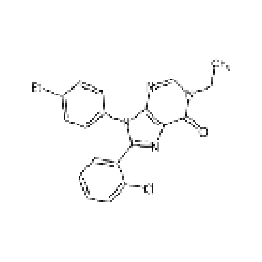 CCc1ccc(-n2c(-c3ccccc3Cl)nc3c(=O)n(CC(F)(F)F)cnc32)cc1